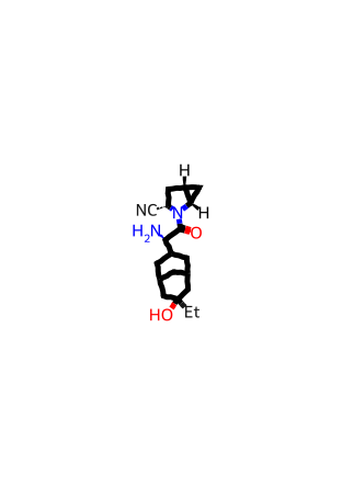 CCC1(O)CC2CC(CC([C@H](N)C(=O)N3[C@H](C#N)C[C@@H]4C[C@@H]43)C2)C1